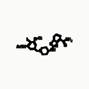 CCOc1cc(CN2CCC(Nc3nc4c(C(N)=O)[c]ccc4o3)CC2)cc(NC(C)=O)c1I